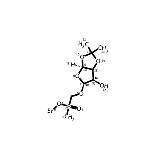 CCOP(C)(=O)CO[C@H]1O[C@H]2OC(C)(C)OC2[C@H]1O